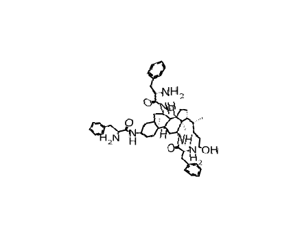 C[C@H](CCCO)[C@H]1CC[C@H]2C3[C@H](NC(=O)[C@@H](N)Cc4ccccc4)CC4C[C@H](NC(=O)[C@@H](N)Cc5ccccc5)CC[C@]4(C)[C@H]3C[C@H](NC(=O)[C@@H](N)Cc3ccccc3)[C@]12C